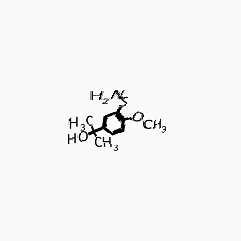 COc1ccc(C(C)(C)O)cc1SN